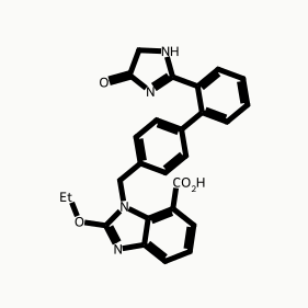 CCOc1nc2cccc(C(=O)O)c2n1Cc1ccc(-c2ccccc2C2=NC(=O)CN2)cc1